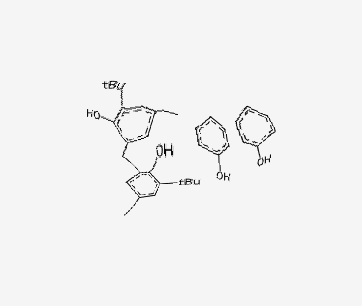 Cc1cc(Cc2cc(C)cc(C(C)(C)C)c2O)c(O)c(C(C)(C)C)c1.Oc1ccccc1.Oc1ccccc1